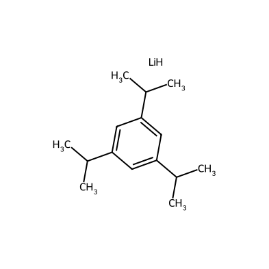 CC(C)c1cc(C(C)C)cc(C(C)C)c1.[LiH]